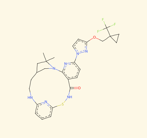 CC1(C)CC2CCNc3cccc(n3)SNC(=O)c3ccc(-n4ccc(OCC5(C(F)(F)F)CC5)n4)nc3N1C2